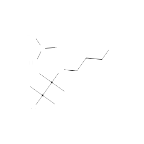 CC(C)(O)C(C)(C)OCCCS.OB(O)O